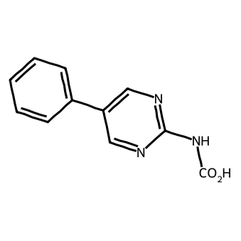 O=C(O)Nc1ncc(-c2ccccc2)cn1